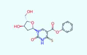 O=C(Oc1ccccc1)c1cn([C@H]2C[C@@H](O)[C@H](CO)O2)c(=O)[nH]c1=S